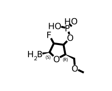 B[C@@H]1O[C@H](COC)C(O[PH](=O)O)C1F